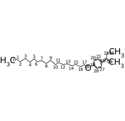 CCCCCCCCCCCCCCCCCCOc1ccc(C(C)CC)cc1